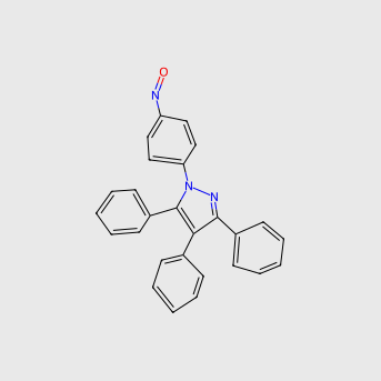 O=Nc1ccc(-n2nc(-c3ccccc3)c(-c3ccccc3)c2-c2ccccc2)cc1